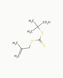 C=C(C)CSC(=S)SC(C)(C)C(=O)O